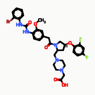 COc1cc(CC(=O)N2C[C@@H](Oc3ccc(F)cc3F)CC2CN2CCN(CC(=O)O)CC2)ccc1NC(=O)Nc1ccccc1Br